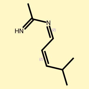 CC(=N)/N=C\C=C/C(C)C